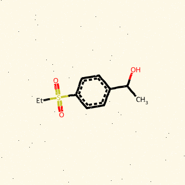 CCS(=O)(=O)c1ccc(C(C)O)cc1